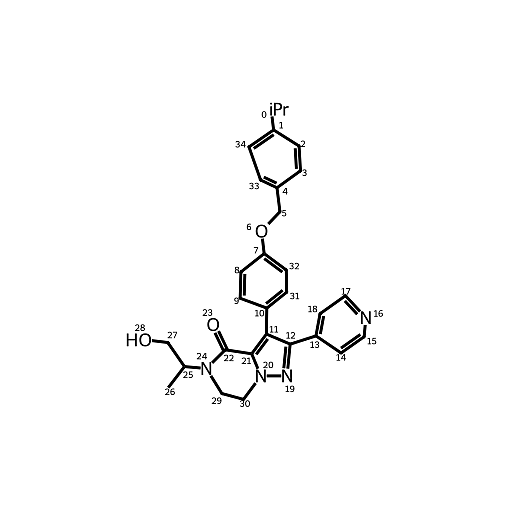 CC(C)c1ccc(COc2ccc(-c3c(-c4ccncc4)nn4c3C(=O)N(C(C)CO)CC4)cc2)cc1